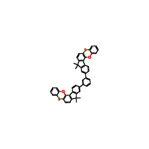 CC1(C)c2cc(-c3cccc(-c4ccc5c(c4)C(C)(C)c4ccc6c(c4-5)Oc4ccccc4S6)c3)ccc2-c2c1ccc1c2Oc2ccccc2S1